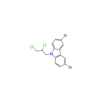 ClCC(Cl)Cn1c2ccc(Br)cc2c2cc(Br)ccc21